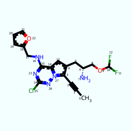 CC#Cc1c(C[C@@H](N)COC(F)F)cc2c(NCc3ccco3)nc(Cl)nn12